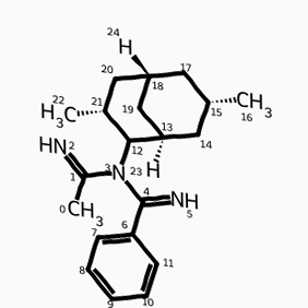 CC(=N)N(C(=N)c1ccccc1)C1[C@@H]2C[C@@H](C)C[C@H](C2)C[C@H]1C